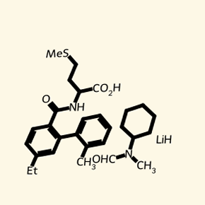 CCc1ccc(C(=O)NC(CCSC)C(=O)O)c(-c2ccccc2C)c1.CN(C=O)C1CCCCC1.[LiH]